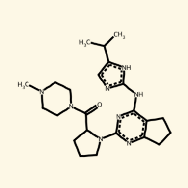 CC(C)c1cnc(Nc2nc(N3CCCC3C(=O)N3CCN(C)CC3)nc3c2CCC3)[nH]1